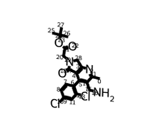 Cc1nc2c(c(-c3ccc(Cl)cc3Cl)c1CN)C(=O)N(CC(=O)OC(C)(C)C)C2